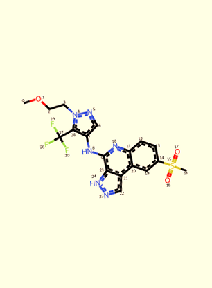 COCCn1ncc(Nc2nc3ccc(S(C)(=O)=O)cc3c3cn[nH]c23)c1C(F)(F)F